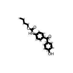 CCCCOC(=O)Nc1ccc(C(=O)c2ccc(O)cc2)cc1